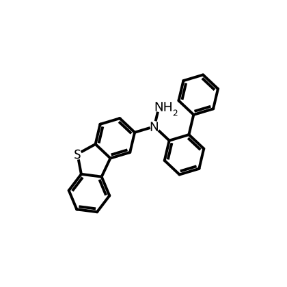 NN(c1ccc2sc3ccccc3c2c1)c1ccccc1-c1ccccc1